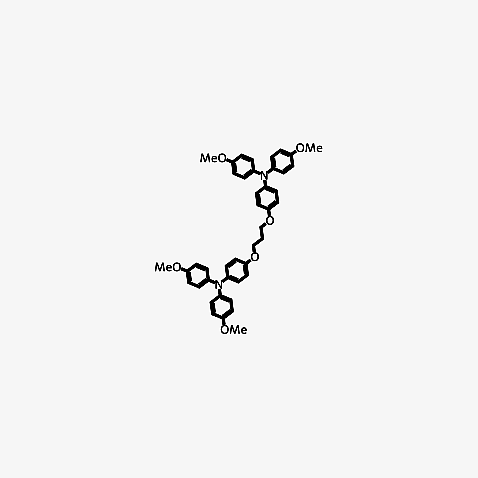 COc1ccc(N(c2ccc(OC)cc2)c2ccc(OCCCOc3ccc(N(c4ccc(OC)cc4)c4ccc(OC)cc4)cc3)cc2)cc1